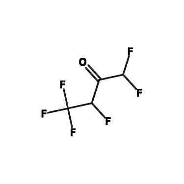 O=C(C(F)F)C(F)C(F)(F)F